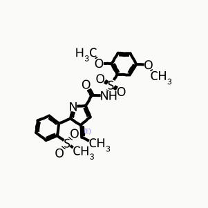 C/C=C1\C=C(C(=O)NS(=O)(=O)c2cc(OC)ccc2OC)N=C1c1ccccc1S(C)(=O)=O